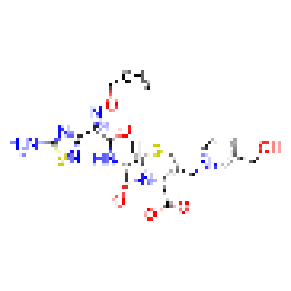 CCO/N=C(\C(=O)NC1C(=O)N2C(C(=O)[O-])=C(C[n+]3cccc(CO)c3)CS[C@H]12)c1nsc(N)n1